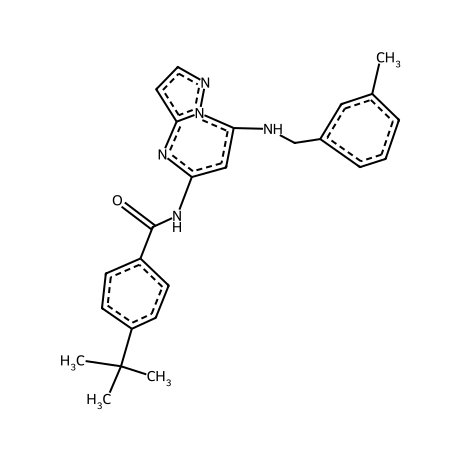 Cc1cccc(CNc2cc(NC(=O)c3ccc(C(C)(C)C)cc3)nc3ccnn23)c1